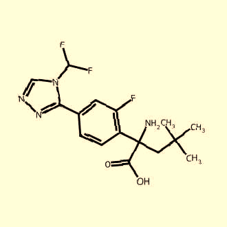 CC(C)(C)CC(N)(C(=O)O)c1ccc(-c2nncn2C(F)F)cc1F